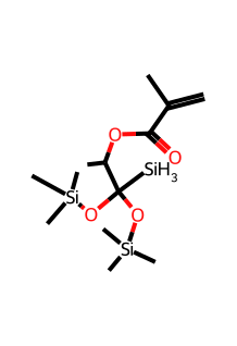 C=C(C)C(=O)OC(C)C([SiH3])(O[Si](C)(C)C)O[Si](C)(C)C